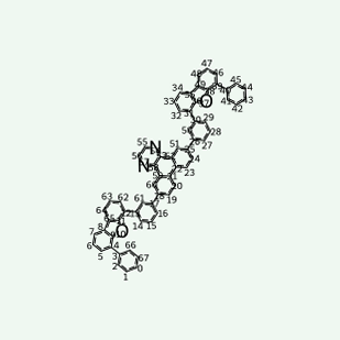 c1ccc(-c2cccc3c2oc2c(-c4cccc(-c5ccc6c7ccc(-c8cccc(-c9cccc%10c9oc9c(-c%11ccccc%11)cccc9%10)c8)cc7c7nccnc7c6c5)c4)cccc23)cc1